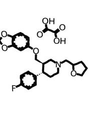 Fc1ccc([C@H]2CCN(CC3CCCO3)C[C@@H]2COc2ccc3c(c2)OCO3)cc1.O=C(O)C(=O)O